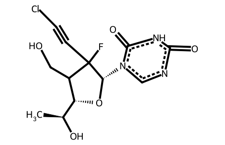 C[C@H](O)[C@H]1O[C@@H](n2cnc(=O)[nH]c2=O)C(F)(C#CCl)C1CO